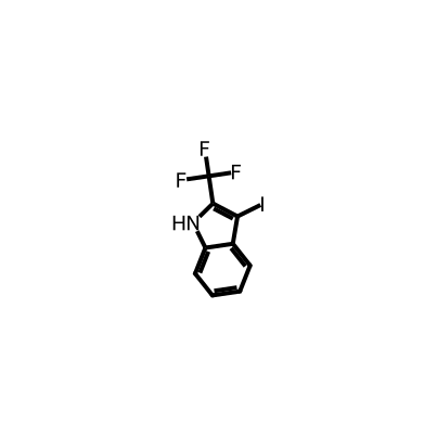 FC(F)(F)c1[nH]c2ccccc2c1I